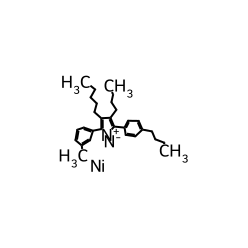 CCCCCC1=C(c2cccc(C)c2)[N+](=[N-])C(c2ccc(CCCC)cc2)=C1CCCC.[Ni]